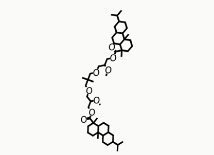 COC(COCC(C)(C)COCC(COC(=O)C1(C)CCCC2(C)C3CCC(C(C)C)CC3CCC12)OC)COC(=O)C1(C)CCCC2(C)C3CCC(C(C)C)CC3CCC12